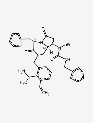 C=Cc1cccc(CN2C[C@H]3N(C(=O)CN3N(CCC)C(=O)NCc3ccccc3)[C@@H](Cc3ccccc3)C2=O)c1N(C)N